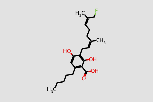 CCCCCc1cc(O)c(CC=C(C)CCC=C(C)CF)c(O)c1C(=O)O